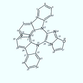 c1ccc2c(c1)c1ccccc1n2-c1nc2occn2c1-n1c2ccccc2c2ccccc21